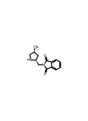 N#C[C@@H]1CN[C@H](CN2C(=O)c3ccccc3C2=O)C1